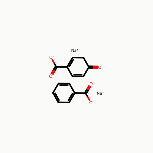 O=C([O-])c1ccccc1.O=C1C=CC(C(=O)[O-])=CC1.[Na+].[Na+]